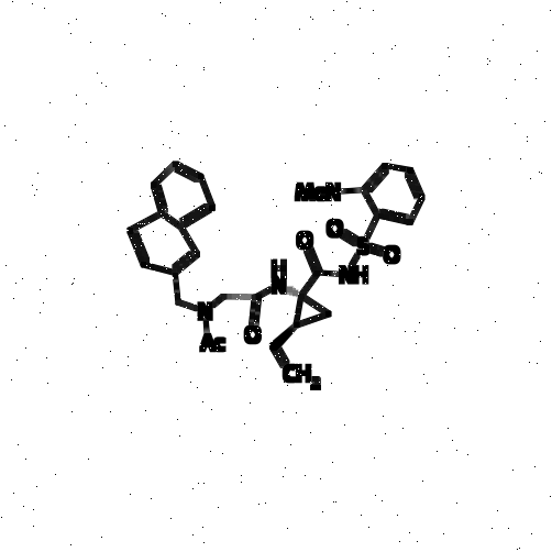 C=C[C@@H]1C[C@]1(NC(=O)CN(Cc1ccc2ccccc2c1)C(C)=O)C(=O)NS(=O)(=O)c1ccccc1NC